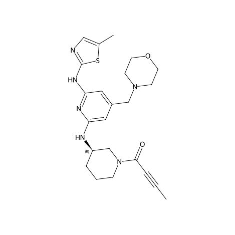 CC#CC(=O)N1CCC[C@@H](Nc2cc(CN3CCOCC3)cc(Nc3ncc(C)s3)n2)C1